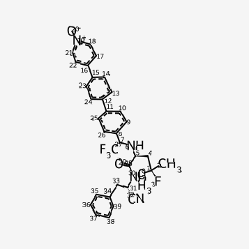 CC(C)(F)C[C@H](N[C@@H](c1ccc(-c2ccc(-c3cc[n+]([O-])cc3)cc2)cc1)C(F)(F)F)C(=O)N[C@H](C#N)Cc1ccccc1